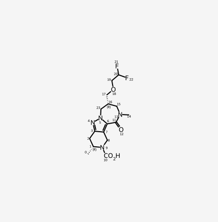 C[C@@H]1Cc2nn3c(c2CN1C(=O)O)C(=O)N(C)C[C@@H](COCC(F)F)C3